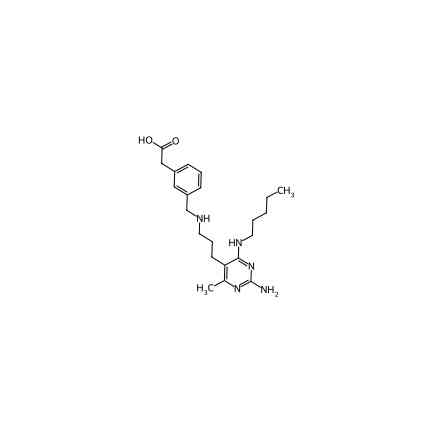 CCCCCNc1nc(N)nc(C)c1CCCNCc1cccc(CC(=O)O)c1